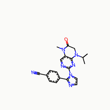 CC(C)N1CC(=O)N(C)c2cnc(-n3ccnc3-c3ccc(C#N)cc3)nc21